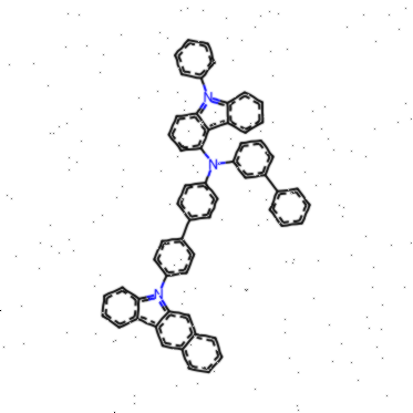 c1ccc(-c2cccc(N(c3ccc(-c4ccc(-n5c6ccccc6c6cc7ccccc7cc65)cc4)cc3)c3cccc4c3c3ccccc3n4-c3ccccc3)c2)cc1